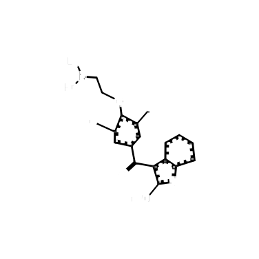 CCCCc1oc2ccccc2c1C(=O)c1cc(I)c(OCCN(CC)CC)c(C(F)(F)F)c1